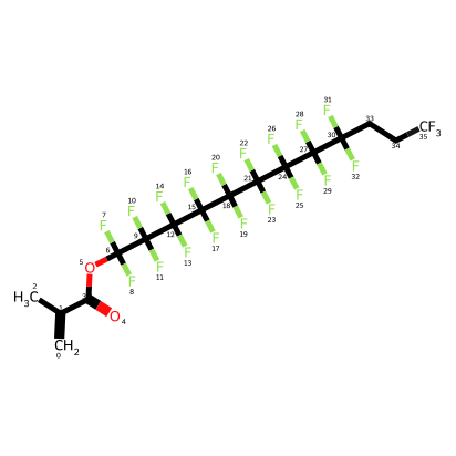 C=C(C)C(=O)OC(F)(F)C(F)(F)C(F)(F)C(F)(F)C(F)(F)C(F)(F)C(F)(F)C(F)(F)C(F)(F)CCC(F)(F)F